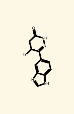 CCC1CC(=O)NN=C1c1ccc2[nH][c]nc2c1